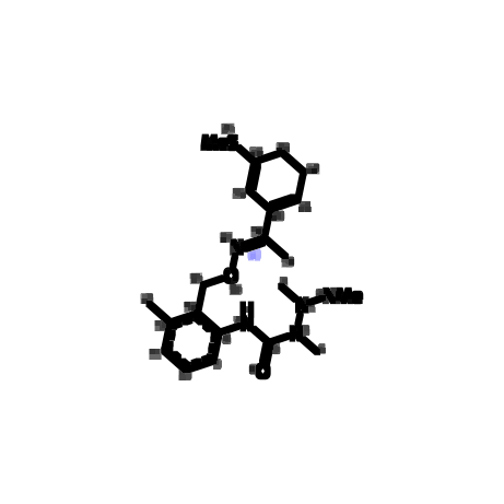 CNN(C)N(C)C(=O)Nc1cccc(C)c1CO/N=C(\C)C1=CCCC(SC)=C1